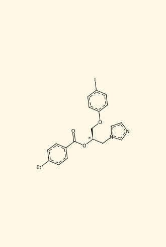 CCc1ccc(C(=O)O[C@@H](COc2ccc(I)cc2)Cn2ccnc2)cc1